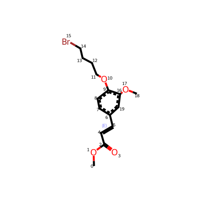 COC(=O)/C=C/c1ccc(OCCCCBr)c(OC)c1